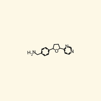 NCc1ccc(C2CCC(c3ccncn3)O2)cc1